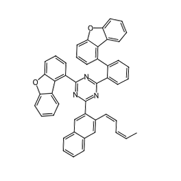 C/C=C\C=C/c1cc2ccccc2cc1-c1nc(-c2ccccc2-c2cccc3oc4ccccc4c23)nc(-c2cccc3oc4ccccc4c23)n1